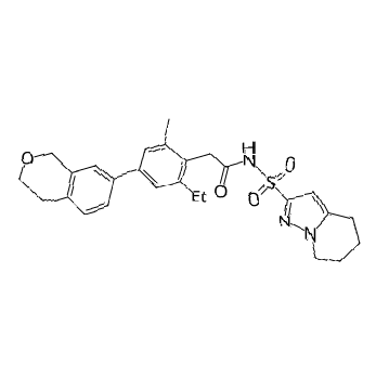 CCc1cc(-c2ccc3c(c2)COCC3)cc(C)c1CC(=O)NS(=O)(=O)c1cc2n(n1)CCCC2